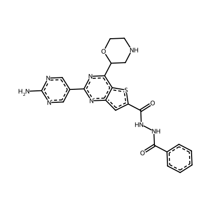 Nc1ncc(-c2nc(C3CNCCO3)c3sc(C(=O)NNC(=O)c4ccccc4)cc3n2)cn1